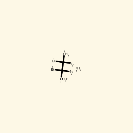 CCC(C)(CC)C(CC)(CC)C(=O)O.N